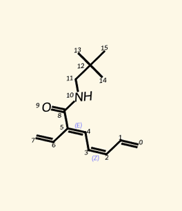 C=C/C=C\C=C(/C=C)C(=O)NCC(C)(C)C